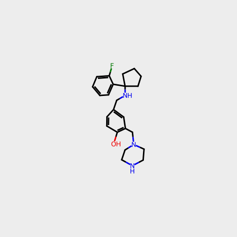 Oc1ccc(CNC2(c3ccccc3F)CCCC2)cc1CN1CCNCC1